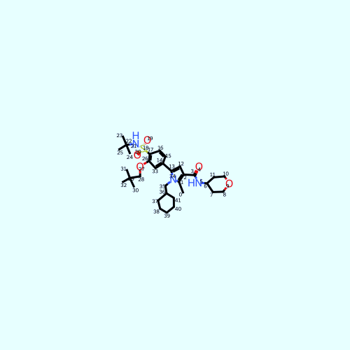 Cc1c(C(=O)NC2CCOCC2)cc(-c2ccc(S(=O)(=O)NC(C)(C)C)c(OCC(C)(C)C)c2)n1CC1CCCCC1